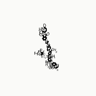 COc1cc(N2CCC3(CC2)CN(C2CN(c4ccc5c(c4)C(=O)N(C4CCC(=O)NC4=O)C5=O)C2)C3)c(C)cc1Nc1ncc(Br)c(Nc2ccc3nccnc3c2P(C)(C)=O)n1.O=C(O)C(F)(F)F